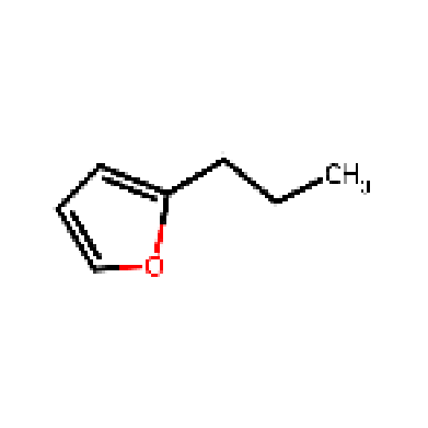 CC[CH]c1ccco1